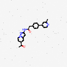 CC(=O)c1ccn2nc(NC(=O)Cc3ccc(-c4ccnc(C)c4)cc3)cc2c1